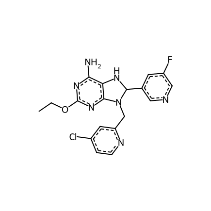 CCOc1nc(N)c2c(n1)N(Cc1cc(Cl)ccn1)C(c1cncc(F)c1)N2